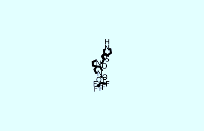 O=C(OC(C(F)(F)F)C(F)(F)F)N1CCC2(CCCN2C(=O)c2cc3c(s2)CCNC3)CC1